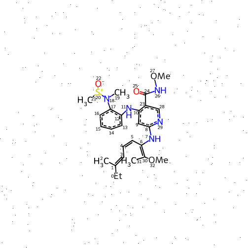 CC/C(C)=C/C=C\C(Nc1cc(Nc2ccccc2N(C)[S+](C)[O-])c(C(=O)NOC)cn1)=C(/C)OC